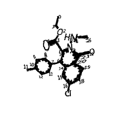 CCOC(=O)c1c(-c2ccc(C)cc2)c2cc(Cl)ccc2c(=O)n1NC